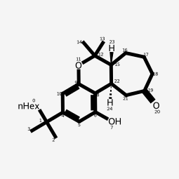 CCCCCCC(C)(C)c1cc(O)c2c(c1)OC(C)(C)[C@@H]1CCCC(=O)C[C@@H]21